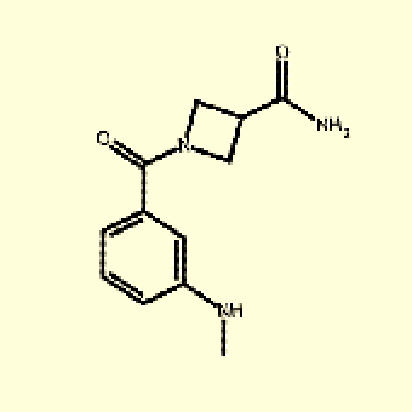 CNc1cccc(C(=O)N2CC(C(N)=O)C2)c1